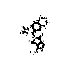 CCOc1cc([C@@H](CS(C)(=O)=O)N2C(=O)c3csc(N)c3C2=O)ccc1OC